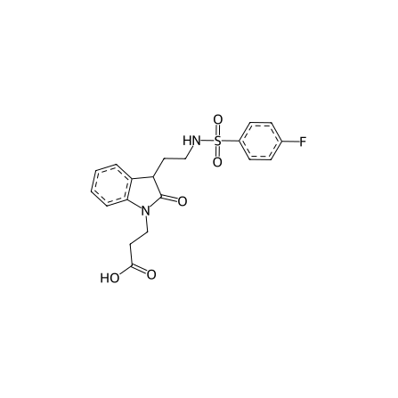 O=C(O)CCN1C(=O)C(CCNS(=O)(=O)c2ccc(F)cc2)c2ccccc21